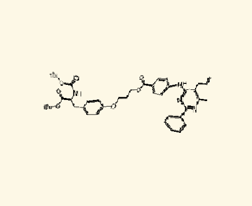 C=CCc1c(C)nc(-c2ccccc2)nc1Nc1ccc(C(=O)OCCCOc2ccc(CC(NC(=O)OC(C)(C)C)C(=O)OC(C)(C)C)cc2)cc1